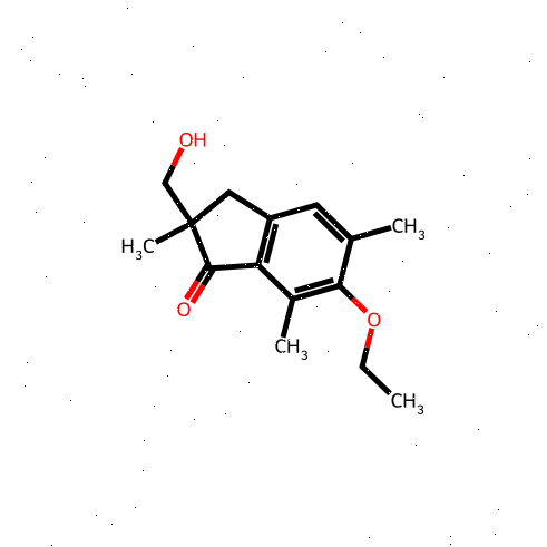 CCOc1c(C)cc2c(c1C)C(=O)C(C)(CO)C2